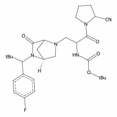 CC(C)(C)OC(=O)NC(CN1C[C@@H]2CC1C(=O)N2C(c1ccc(F)cc1)C(C)(C)C)C(=O)N1CCCC1C#N